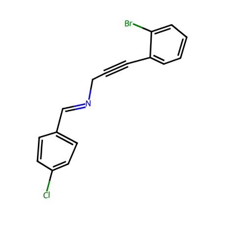 Clc1ccc(C=NCC#Cc2ccccc2Br)cc1